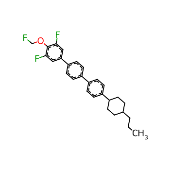 CCCC1CCC(c2ccc(-c3ccc(-c4cc(F)c(OCF)c(F)c4)cc3)cc2)CC1